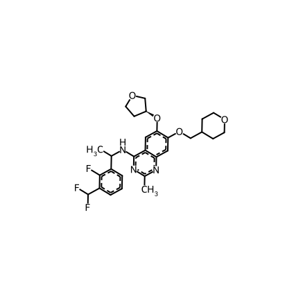 Cc1nc(NC(C)c2cccc(C(F)F)c2F)c2cc(O[C@H]3CCOC3)c(OCC3CCOCC3)cc2n1